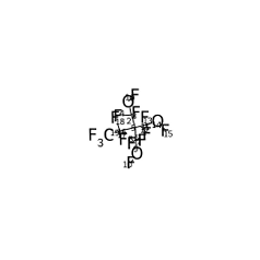 FOC(F)(F)C(C(F)(F)OF)(C(F)(F)OF)C(F)(F)C(F)(F)F